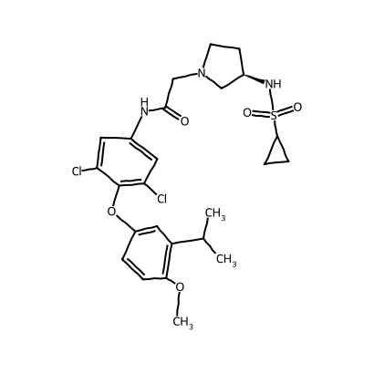 COc1ccc(Oc2c(Cl)cc(NC(=O)CN3CC[C@@H](NS(=O)(=O)C4CC4)C3)cc2Cl)cc1C(C)C